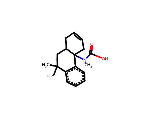 CN(C(=O)O)C12CC=CCC1CC(C)(C)c1ccccc12